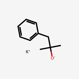 CC(C)([O-])Cc1ccccc1.[K+]